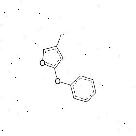 [CH2]c1coc(Oc2ccccc2)c1